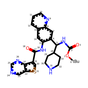 CC(C)(C)OC(=O)NC(c1cc2ncccc2cc1NC(=O)c1csc2cncnc12)C1CCNCC1